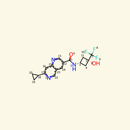 O=C(N[C@H]1C[C@](O)(C(F)(F)F)C1)c1cnc2cc(C3CC3)ncc2c1